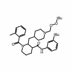 Cc1ccccc1C(=O)N1CCCC(C(=O)Nc2cccc(C(C)(C)C)c2)C1CC1CCN(COOC(C)(C)C)CC1